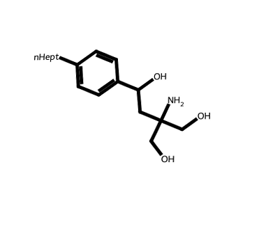 CCCCCCCc1ccc(C(O)CC(N)(CO)CO)cc1